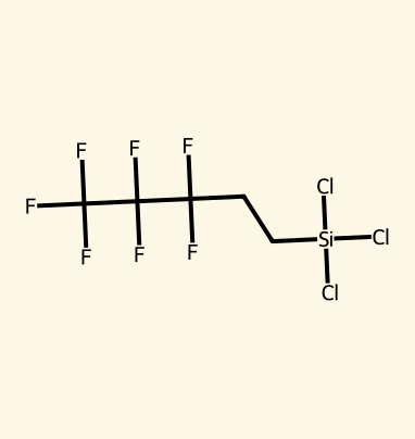 FC(F)(F)C(F)(F)C(F)(F)CC[Si](Cl)(Cl)Cl